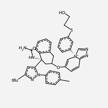 Cc1ccc(-n2nc(C(C)(C)C)cc2[C@]2(NC(N)=O)CC(OC3=C[N@@+]4(c5cccc(SCCO)c5)C=NN=C4C=C3)Cc3ccccc32)cc1